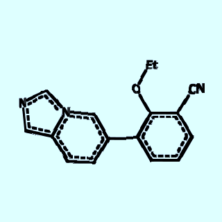 CCOc1c(C#N)cccc1-c1ccc2cncn2c1